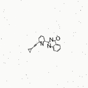 COc1nc(-c2cccc(C#CC3CC3)n2)nc2ccccc12